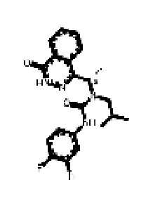 CC(C)CN(C(=O)Nc1ccc(F)c(Cl)c1)[C@@H](C)c1n[nH]c(=O)c2ccccc12